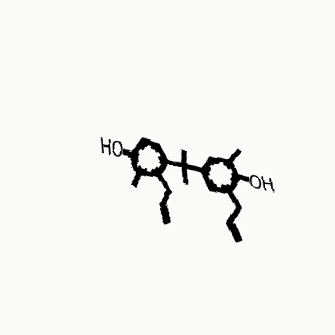 C=CCc1cc(C(C)(C)c2ccc(O)c(C)c2CC=C)cc(C)c1O